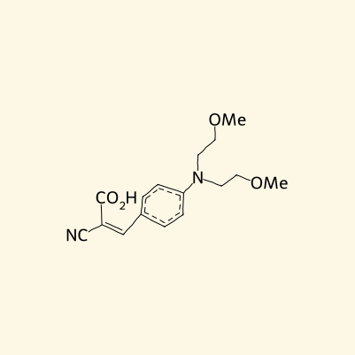 COCCN(CCOC)c1ccc(C=C(C#N)C(=O)O)cc1